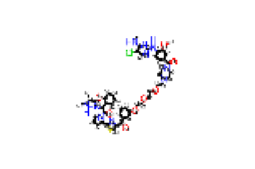 CNc1nc(Nc2ccc(C(=O)N3CCN(CCOCCOCCOc4cccc(C(=O)c5csc(C6CCCN6C(=O)[C@@H](NC(=O)[C@H](C)NC)C6CCCCC6)n5)c4)CC3)cc2OC)ncc1Cl